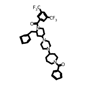 O=C(c1ccccc1)N1CCCC(N2CCN(C3CCN(C(=O)c4cc(C(F)(F)F)cc(C(F)(F)F)c4)C(Cc4ccccc4)C3)CC2)CC1